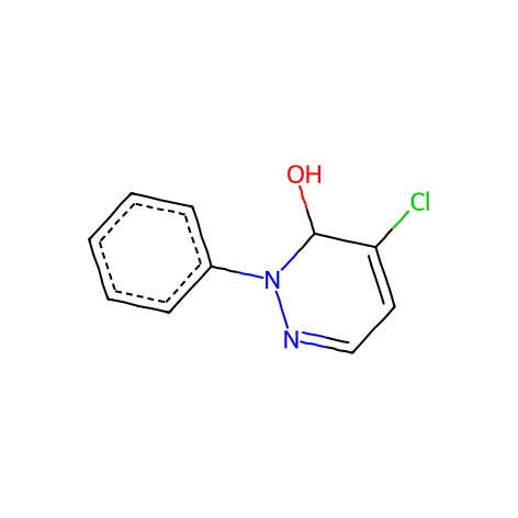 OC1C(Cl)=CC=NN1c1ccccc1